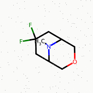 CN1C2COCC1CC(F)(F)C2